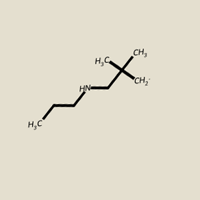 [CH2]C(C)(C)CNCCC